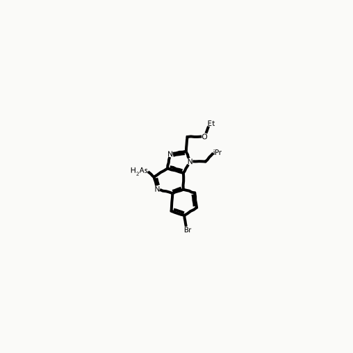 CCOCc1nc2c([AsH2])nc3cc(Br)ccc3c2n1CC(C)C